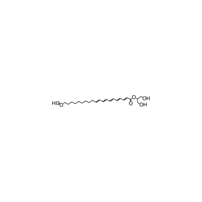 O=C(C=CC=CC=CC=CC=CCCCCCCCCCOO)OC(CO)CO